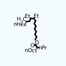 CCCCCCCCC(CCC)C(=O)OCCCCCCCCC(CC)C(CC)C[C@H](C)CCCCCC